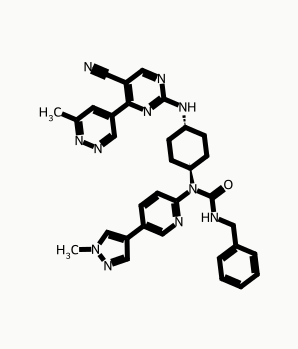 Cc1cc(-c2nc(N[C@H]3CC[C@H](N(C(=O)NCc4ccccc4)c4ccc(-c5cnn(C)c5)cn4)CC3)ncc2C#N)cnn1